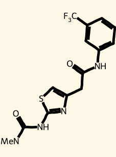 CNC(=O)Nc1nc(CC(=O)Nc2cccc(C(F)(F)F)c2)cs1